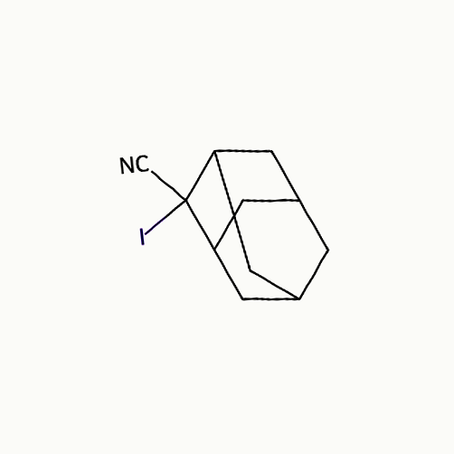 N#CC1(I)C2CC3CC(C2)CC1C3